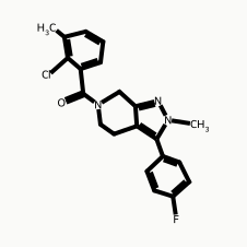 Cc1cccc(C(=O)N2CCc3c(nn(C)c3-c3ccc(F)cc3)C2)c1Cl